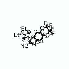 CCN(CC)S(=O)(=O)n1c(C#N)nc2cc3c(cc21)OC(F)(F)C(F)(F)O3